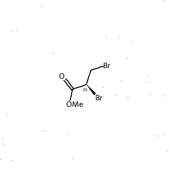 COC(=O)[C@H](Br)CBr